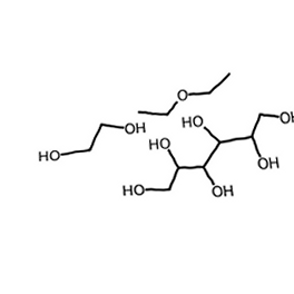 CCOCC.OCC(O)C(O)C(O)C(O)CO.OCCO